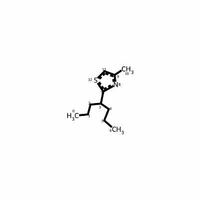 CCCC(CCC)c1nc(C)cs1